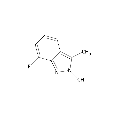 Cc1c2cccc(F)c2nn1C